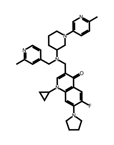 Cc1ccc(N2CCCC(N(Cc3ccnc(C)c3)Cc3cn(C4CC4)c4cc(N5CCCC5)c(F)cc4c3=O)C2)cn1